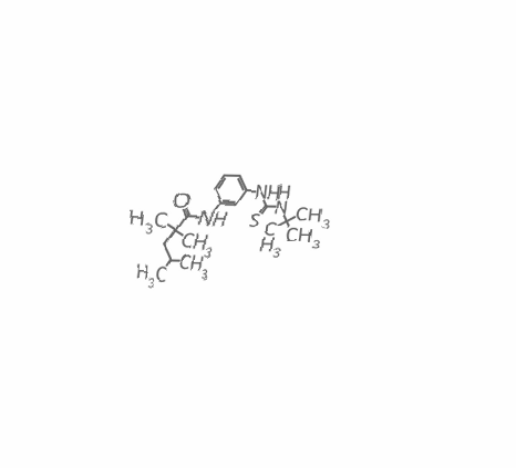 CC(C)CC(C)(C)C(=O)Nc1cccc(NC(=S)NC(C)(C)C)c1